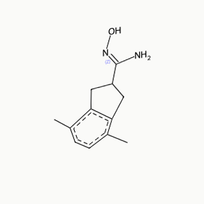 Cc1ccc(C)c2c1CC(/C(N)=N/O)C2